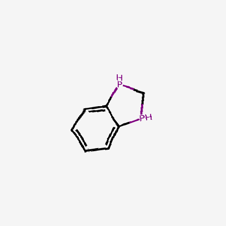 c1ccc2c(c1)PCP2